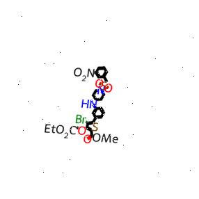 CCOC(=O)COc1c(C(=O)OC)sc(-c2cccc(NC3CCN(S(=O)(=O)Cc4cccc([N+](=O)[O-])c4)CC3)c2)c1Br